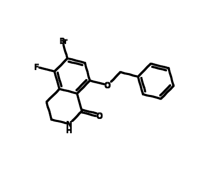 O=C1NCCc2c(F)c(Br)cc(OCc3ccccc3)c21